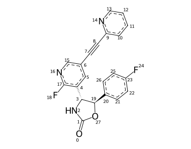 O=C1N[C@H](c2cc(C#Cc3ccccn3)cnc2F)[C@@H](c2ccc(F)cc2)O1